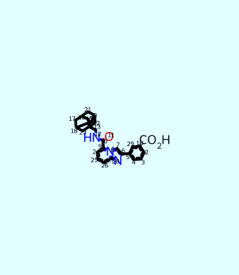 O=C(O)c1cccc(-c2cn3c(C(=O)NCC45CC6CC(CC(C6)C4)C5)cccc3n2)c1